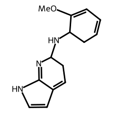 COC1=CC=CCC1NC1CC=c2cc[nH]c2=N1